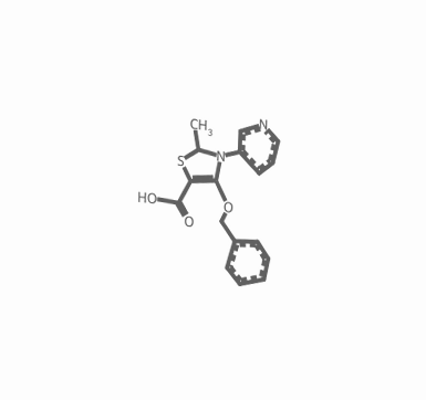 CC1SC(C(=O)O)=C(OCc2ccccc2)N1c1cccnc1